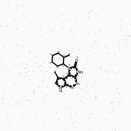 Cc1c[nH]c2nnc3[nH]c(=O)n(C4CCCCC4C)c3c12